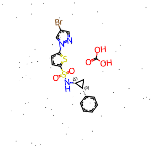 O=C(O)O.O=S(=O)(N[C@H]1C[C@@H]1c1ccccc1)c1ccc(-n2cc(Br)cn2)s1